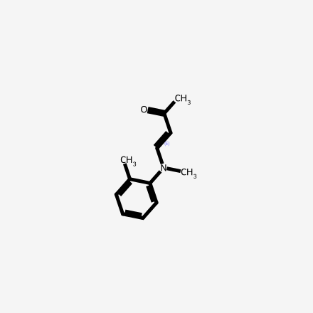 CC(=O)/C=C/N(C)c1ccccc1C